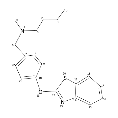 CCCCN(C)Cc1ccc(Oc2nc3ccccc3s2)cc1